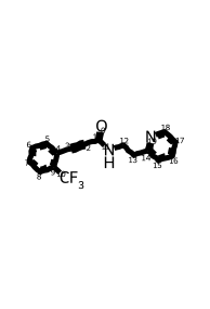 O=C(C#Cc1ccccc1C(F)(F)F)NCCc1ccccn1